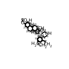 C1CNCCN1.C=C.C=Cc1ccccc1.C[C@]12CC[C@@H]3c4ccc(OS(=O)(=O)O)cc4CC[C@H]3[C@@H]1CCC2=O